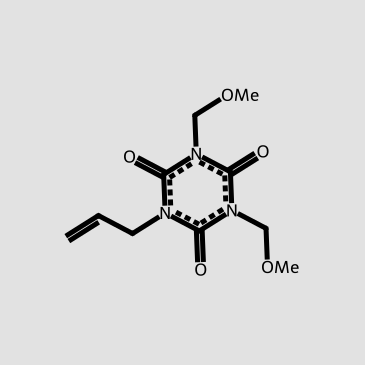 C=CCn1c(=O)n(COC)c(=O)n(COC)c1=O